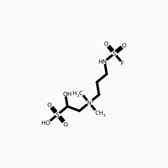 C[N+](C)(CCCNS(=O)(=O)F)CC(O)S(=O)(=O)O